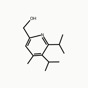 Cc1cc(CO)nc(C(C)C)c1C(C)C